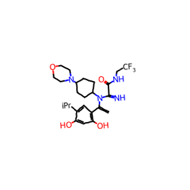 C=C(c1cc(C(C)C)c(O)cc1O)N(C(=N)C(=O)NCC(F)(F)F)C1CCC(N2CCOCC2)CC1